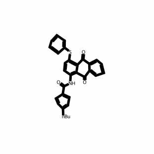 CCCCc1ccc(C(=O)Nc2ccc(Sc3ccccc3)c3c2C(=O)c2ccccc2C3=O)cc1